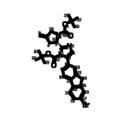 C=C1C[C@@H](c2ncc(-c3ccc4c(c3)Cc3cc(Br)ccc3-4)n2C(=O)OC(C)(C)C)N(C(=O)OC(C)(C)C)C1